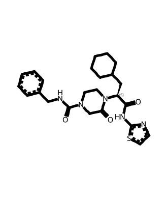 O=C(Nc1nccs1)[C@H](CC1CCCCC1)N1CCN(C(=O)NCc2ccccc2)CC1=O